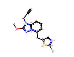 C#CCn1c(OC)n[n+]2c(Cc3cnc(Cl)s3)cccc12